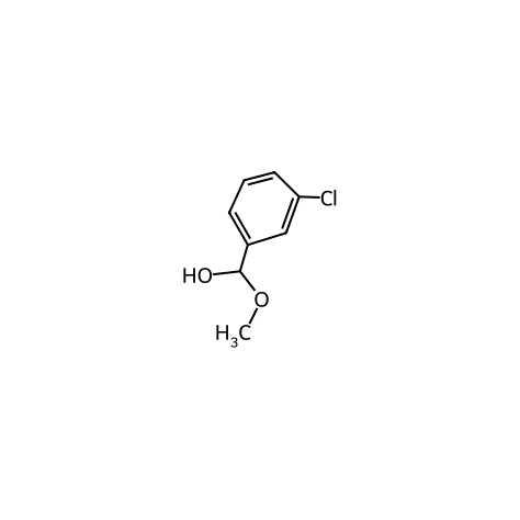 COC(O)c1cccc(Cl)c1